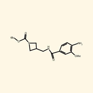 COc1cc(C(=O)NCC2CN(C(=O)OC(C)(C)C)C2)ccc1N